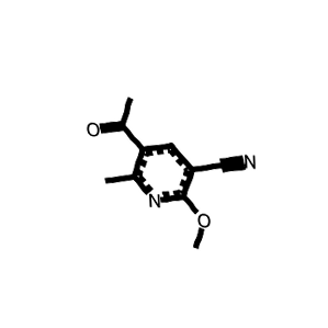 COc1nc(C)c(C(C)=O)cc1C#N